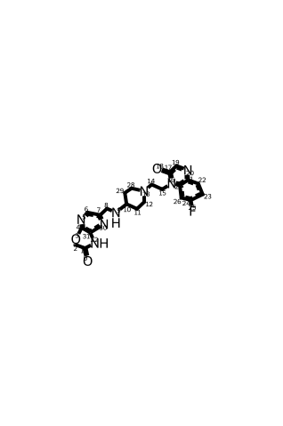 O=C1COc2ncc(CNC3CCN(CCn4c(=O)cnc5ccc(F)cc54)CC3)nc2N1